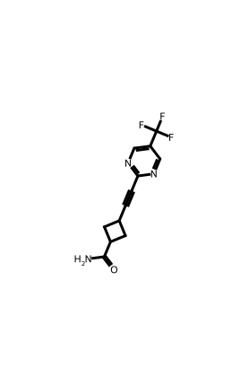 NC(=O)C1CC(C#Cc2ncc(C(F)(F)F)cn2)C1